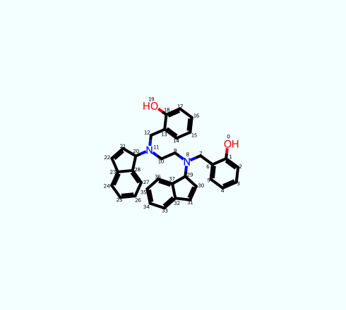 Oc1ccccc1CN(CCN(Cc1ccccc1O)C1C=Cc2ccccc21)C1C=Cc2ccccc21